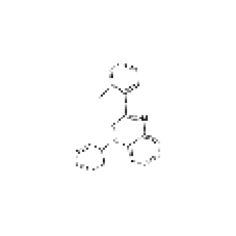 Cc1ccccc1-c1cc(C2C=CC=CC2)c2ccccc2n1